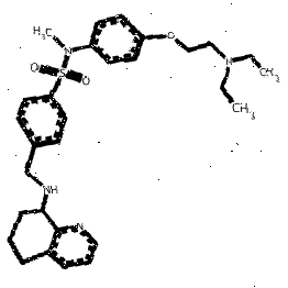 CCN(CC)CCOc1ccc(N(C)S(=O)(=O)c2ccc(CNC3CCCc4cccnc43)cc2)cc1